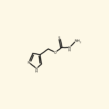 NNC(=S)OCc1cn[nH]c1